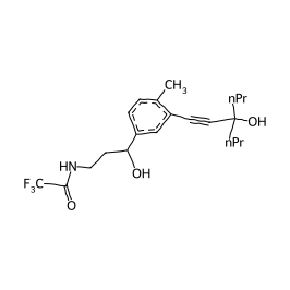 CCCC(O)(C#Cc1cc(C(O)CCNC(=O)C(F)(F)F)ccc1C)CCC